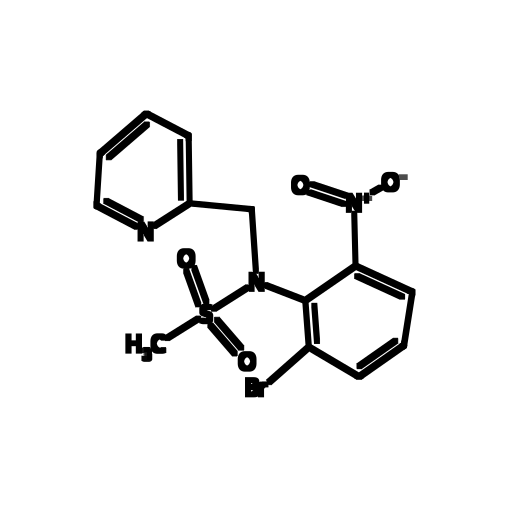 CS(=O)(=O)N(Cc1ccccn1)c1c(Br)cccc1[N+](=O)[O-]